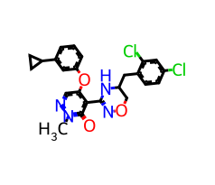 Cn1ncc(Oc2cccc(C3CC3)c2)c(C2=NOCC(Cc3ccc(Cl)cc3Cl)N2)c1=O